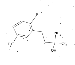 NC(O)(CCc1cc(C(F)(F)F)ccc1F)C(F)(F)F